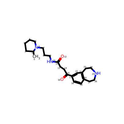 CC1CCCCN1CCCNC(=O)CCC(=O)c1ccc2c(c1)CCNCC2